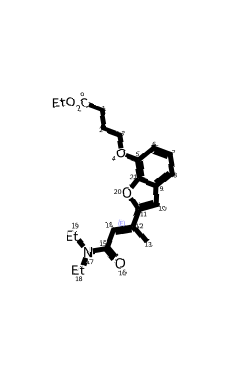 CCOC(=O)CCCOc1cccc2cc(/C(C)=C/C(=O)N(CC)CC)oc12